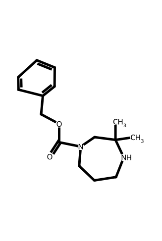 CC1(C)CN(C(=O)OCc2ccccc2)CCCN1